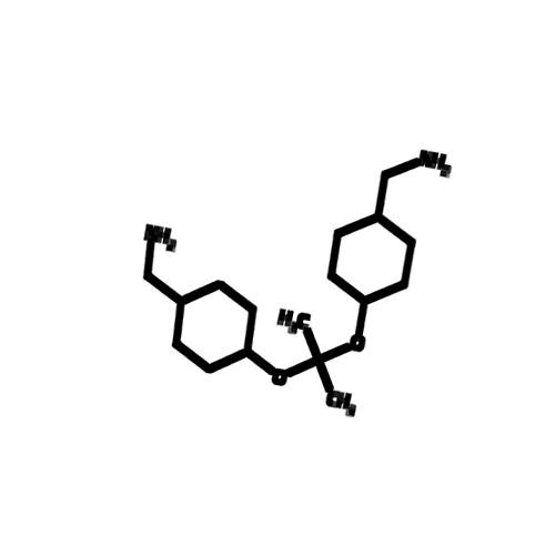 CC(C)(OC1CCC(CN)CC1)OC1CCC(CN)CC1